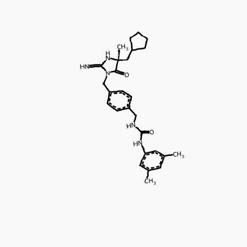 Cc1cc(C)cc(NC(=O)NCc2ccc(CN3C(=N)N[C@](C)(CC4CCCC4)C3=O)cc2)c1